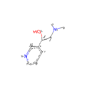 CN(C)CC(O)c1cccnc1